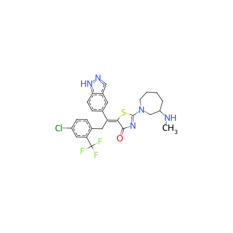 CNC1CCCCN(C2=NC(=O)C(=C(Cc3ccc(Cl)cc3C(F)(F)F)c3ccc4[nH]ncc4c3)S2)C1